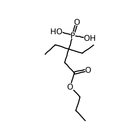 CCCOC(=O)CC(CC)(CC)P(=O)(O)O